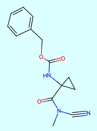 CN(C#N)C(=O)C1(NC(=O)OCc2ccccc2)CC1